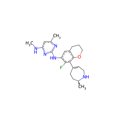 CNc1cc(C)nc(Nc2cc3c(c(C4=CCN[C@@H](C)CC4)c2F)OCCC3)n1